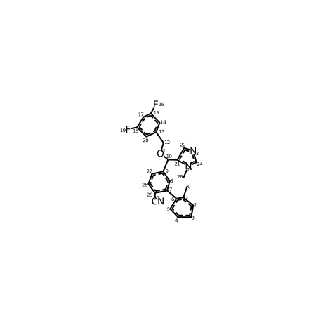 Cc1ccccc1-c1cc(C(OCc2cc(F)cc(F)c2)c2cncn2C)ccc1C#N